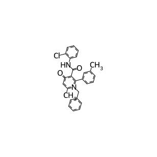 Cc1cccc(-c2c(C(=O)Nc3ccccc3Cl)c(=O)cc(C)n2Cc2ccccc2)c1